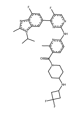 Cc1nc(Nc2ncc(F)c(-c3cc(F)c4nc(C)n(C(C)C)c4c3)n2)ccc1C(=O)N1CCC(NC2CC(F)(F)C2)CC1